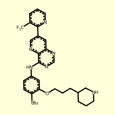 CC(C)(C)c1ccc(Nc2ncnc3cc(-c4ncccc4C(F)(F)F)cnc23)cc1OCCCC1CCCNC1